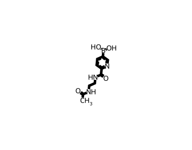 CC(=O)NCCNC(=O)c1ccc(B(O)O)cn1